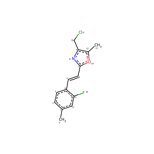 Cc1ccc(/C=C/c2nc(CCl)c(C)o2)c(F)c1